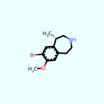 COc1cc2c(cc1Br)[C@H](C)CNCC2